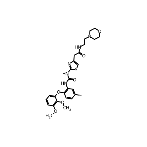 COc1cccc(Oc2ccc(F)cc2NC(=O)Nc2nc(CC(=O)NCCN3CCOCC3)cs2)c1OC